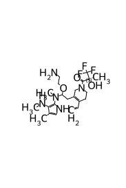 C=CC1=C(CC(OCCN)N(C)c2[nH]cc(C)c2NC)CN(C(=O)[C@](C)(O)C(F)(F)F)CC1